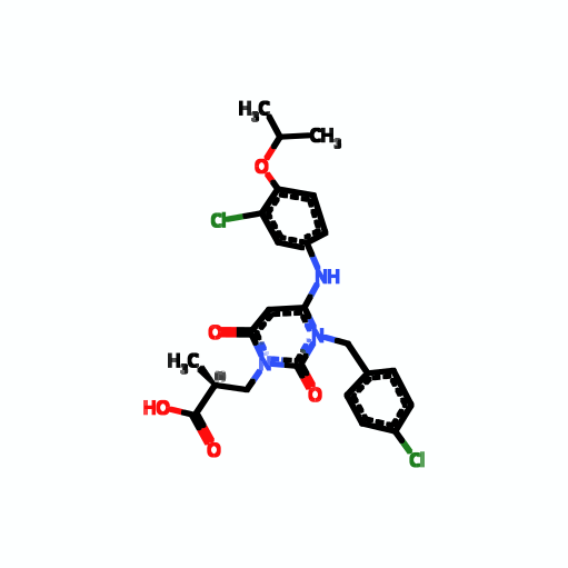 CC(C)Oc1ccc(Nc2cc(=O)n(C[C@H](C)C(=O)O)c(=O)n2Cc2ccc(Cl)cc2)cc1Cl